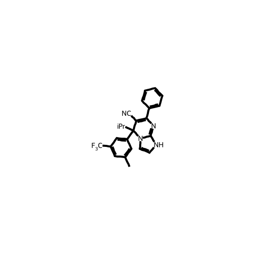 Cc1cc(C(F)(F)F)cc(C2(C(C)C)C(C#N)=C(c3ccccc3)N=C3NC=CN32)c1